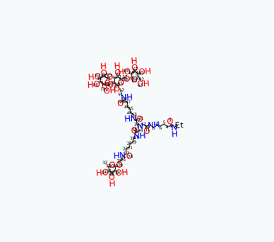 CCNC(=O)CCCCCNC(=O)CN(CC(=O)NCCCCCC(=O)NCCO[C@@H]1O[C@@H](C)[C@@H](O)[C@@H](O)[C@@H]1O)CC(=O)NCCCCCC(=O)NCCO[C@H]1O[C@H](CO[C@H]2O[C@H](CO)[C@@H](O)[C@H](O)[C@@H]2O)[C@@H](O)C(O[C@H]2O[C@H](CO)[C@@H](O)[C@H](O)[C@@H]2O)[C@@H]1O